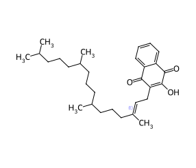 C/C(=C\CC1=C(O)C(=O)c2ccccc2C1=O)CCCC(C)CCCC(C)CCCC(C)C